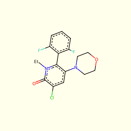 CCn1c(-c2c(F)cccc2F)c(N2CCOCC2)cc(Cl)c1=O